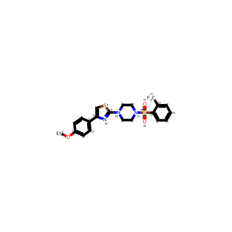 CCOc1ccc(-c2csc(N3CCN(S(=O)(=O)c4ccccc4C(F)(F)F)CC3)n2)cc1